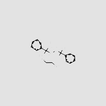 CC(C)(OOC(C)(C)c1ccccc1)c1ccccc1.NCCN